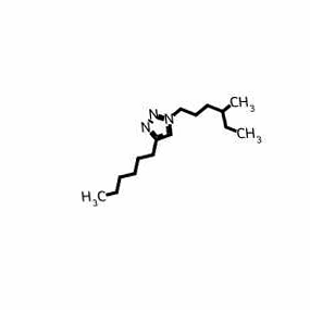 CCCCCCc1cn(CCCC(C)CC)nn1